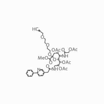 C#CCOCCOCCO[C@]1(C(=O)OC)C[C@H](OC(C)=O)[C@@H](NC(=O)COC(C)=O)[C@H]([C@H](OC(C)=O)[C@@H](CNC(=O)Cc2ccc(-c3ccccc3)nc2)OC(C)=O)O1